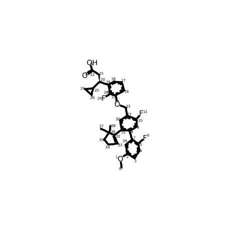 COc1ccc(F)c(-c2cc(F)c(COc3cccc([C@H](CC(=O)O)C4CC4)c3F)cc2C2=CCCC2(C)C)c1